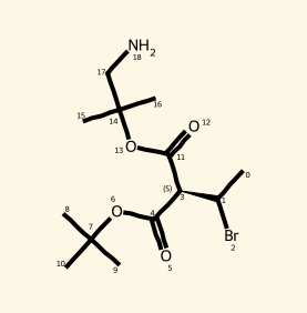 CC(Br)[C@@H](C(=O)OC(C)(C)C)C(=O)OC(C)(C)CN